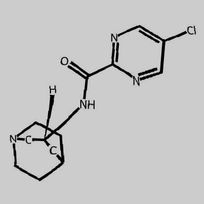 O=C(N[C@@H]1CC2CCN(CC2)C1)c1ncc(Cl)cn1